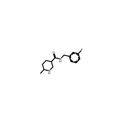 CC1CCC(C(=O)NCc2cccc(F)c2)CN1